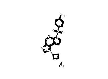 Cc1ccc(S(=O)(=O)n2ccc3c2ncc2ncn([C@H]4C[C@@H](CO)C4)c23)cc1